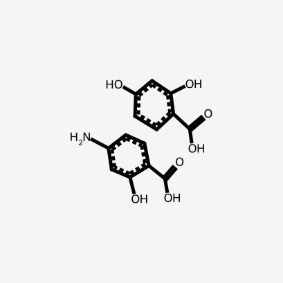 Nc1ccc(C(=O)O)c(O)c1.O=C(O)c1ccc(O)cc1O